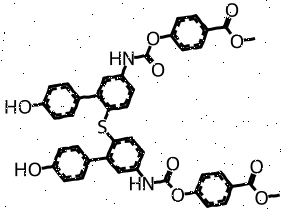 COC(=O)c1ccc(OC(=O)Nc2ccc(Sc3ccc(NC(=O)Oc4ccc(C(=O)OC)cc4)cc3-c3ccc(O)cc3)c(-c3ccc(O)cc3)c2)cc1